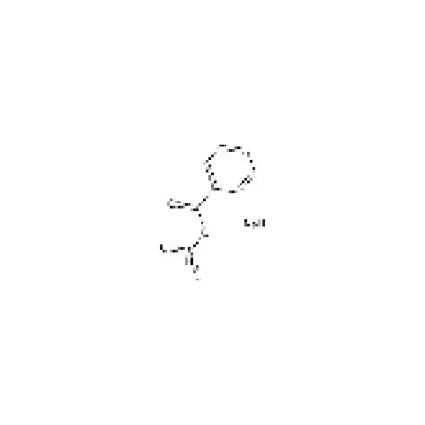 O=C(O[SH](=O)=O)c1ccccc1.[NaH]